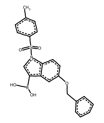 Cc1ccc(S(=O)(=O)n2cc(B(O)O)c3cc(OCc4ccccc4)ccc32)cc1